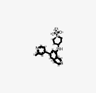 CCS(=O)(=O)N1CCC(Nc2cc(-c3ccnc(C)c3)cc3ccncc23)CC1